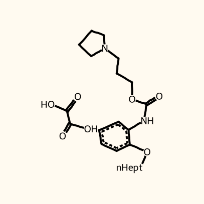 CCCCCCCOc1ccccc1NC(=O)OCCCN1CCCC1.O=C(O)C(=O)O